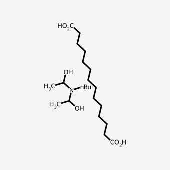 CCCCN(C(C)O)C(C)O.O=C(O)CCCCCCCCCCCCC(=O)O